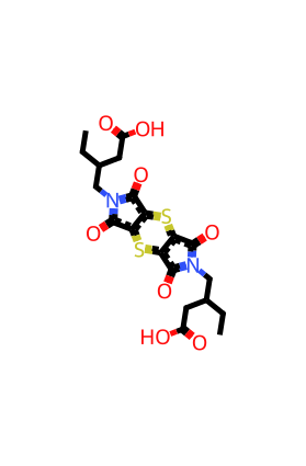 CCC(CC(=O)O)Cn1c(=O)c2sc3c(=O)n(CC(CC)CC(=O)O)c(=O)c3sc2c1=O